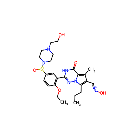 CCCc1c(/C=N/O)c(C)c2c(=O)[nH]c(-c3cc([S+]([O-])N4CCN(CCO)CC4)ccc3OCC)nn12